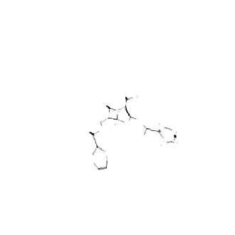 C[C@@H](OC(=O)C1SCCS1)[C@H]1C(=O)N2C(C(=O)O)=C(SC(S)c3nnnn3C)S[C@H]12